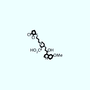 COc1ccc2nccc([C@H](O)CC[C@@H]3CCN(CCCSc4cccc(Cl)c4Cl)C[C@@H]3CC(=O)O)c2c1